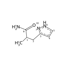 CC(Cc1cc[nH]n1)C(N)=O